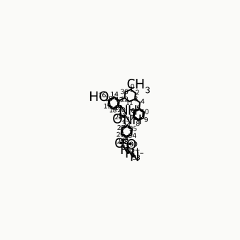 CC1CC(Cc2ccccc2)CC(c2cc(O)ccc2NC(=O)Nc2ccc(S(=O)(=O)N=[N+]=[N-])cc2)C1